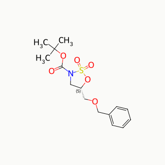 CC(C)(C)OC(=O)N1C[C@@H](COCc2ccccc2)OS1(=O)=O